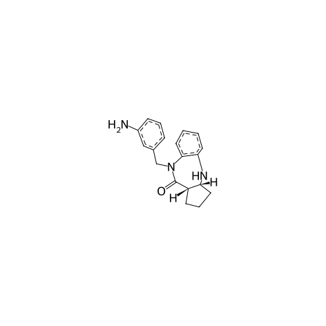 Nc1cccc(CN2C(=O)[C@H]3CCC[C@H]3Nc3ccccc32)c1